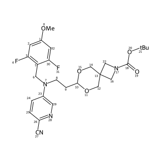 COc1cc(F)c(CN(CCC2OCC3(CO2)CN(C(=O)OC(C)(C)C)C3)c2ccc(C#N)nc2)c(F)c1